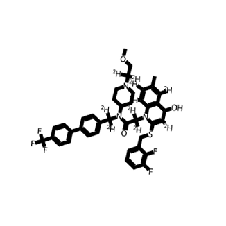 [2H]C1=C(SCc2cccc(F)c2F)N(C([2H])([2H])C(=O)N(C2CCN(C([2H])([2H])COC)CC2)C([2H])([2H])c2ccc(-c3ccc(C(F)(F)F)cc3)cc2)c2c([2H])c([2H])c(C)c([2H])c2C1O